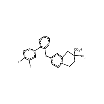 NC1(C(=O)O)CCc2ccc(Oc3ccccc3-c3ccc(F)c(F)c3)cc2C1